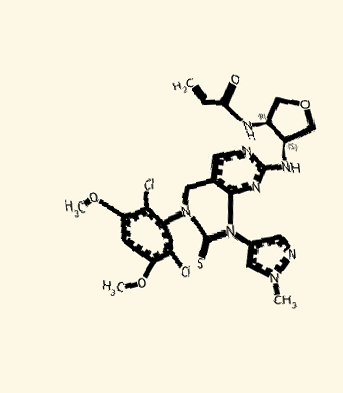 C=CC(=O)N[C@H]1COC[C@H]1Nc1ncc2c(n1)N(c1cnn(C)c1)C(=S)N(c1c(Cl)c(OC)cc(OC)c1Cl)C2